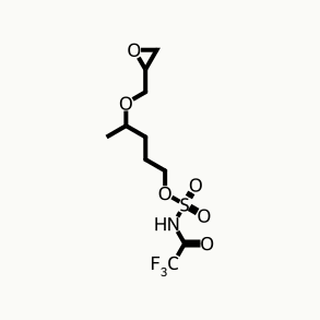 CC(CCCOS(=O)(=O)NC(=O)C(F)(F)F)OCC1CO1